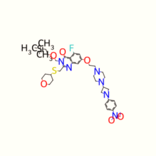 C[Si](C)(C)CCOCn1c(CSC2CCOCC2)nc2cc(OCCN3CCN(C4CN(c5ccc([N+](=O)[O-])cc5)C4)CC3)cc(F)c2c1=O